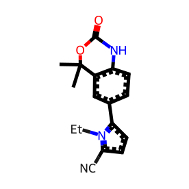 CCn1c(C#N)ccc1-c1ccc2c(c1)C(C)(C)OC(=O)N2